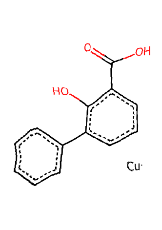 O=C(O)c1cccc(-c2ccccc2)c1O.[Cu]